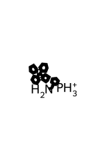 NCc1ccccc1[PH3+].c1ccc([B-](c2ccccc2)(c2ccccc2)c2ccccc2)cc1